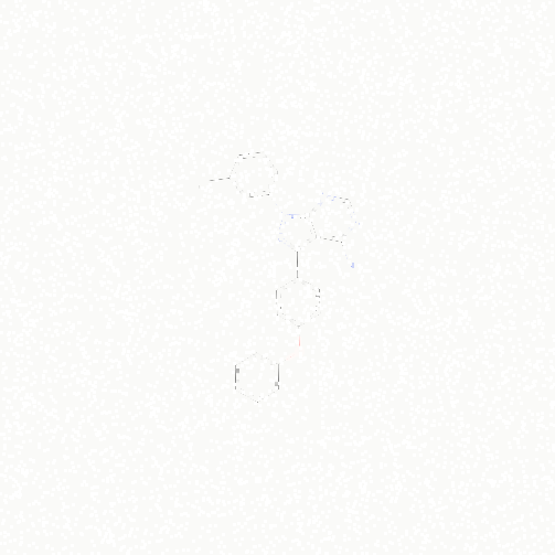 Cc1cccc(-n2nc(-c3ccc(Oc4ccccc4)cc3)c3c(N)ncnc32)c1